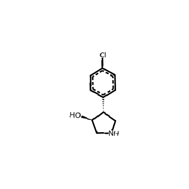 O[C@@H]1CNC[C@H]1c1ccc(Cl)cc1